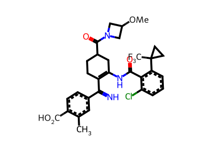 COC1CN(C(=O)C2CCC(C(=N)c3ccc(C(=O)O)c(C)c3)=C(NC(=O)c3c(Cl)cccc3C3(C(F)(F)F)CC3)C2)C1